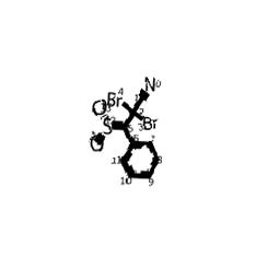 N#CC(Br)(Br)C(c1ccccc1)=S(=O)=O